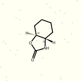 O=C1N[C@H]2CCCC[C@@H]2O1